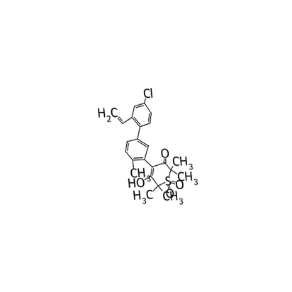 C=Cc1cc(Cl)ccc1-c1ccc(C)c(C2=C(O)C(C)(C)S(=O)(=O)C(C)(C)C2=O)c1